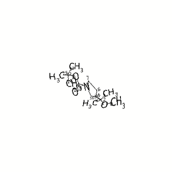 COC(C)(C)[C@@H]1CCN(C(=O)OC(C)(C)C)C1